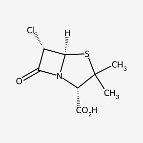 CC1(C)S[C@@H]2[C@@H](Cl)C(=O)N2[C@H]1C(=O)O